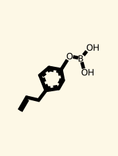 C=CCc1ccc(OB(O)O)cc1